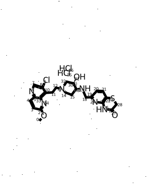 COc1ccc2ncc(Cl)c(CCN3CC[C@H](NCc4ccc5c(n4)NC(=O)CS5)[C@@H](O)C3)c2n1.Cl.Cl